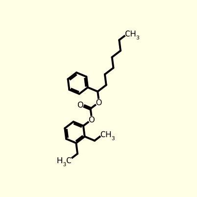 CCCCCCCC(OC(=O)Oc1cccc(CC)c1CC)c1ccccc1